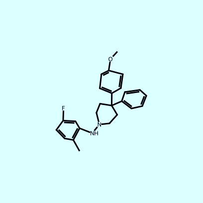 COc1ccc(C2(c3ccccc3)CCN(Nc3cc(F)ccc3C)CC2)cc1